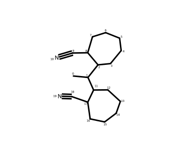 CC(C1CCCCCC1C#N)C1CCCCCC1C#N